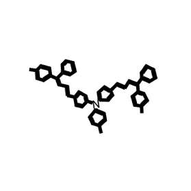 Cc1ccc(C(=CC=Cc2ccc(N(c3ccc(C)cc3)c3ccc(C=CC=C(c4ccccc4)c4ccc(C)cc4)cc3)cc2)c2ccccc2)cc1